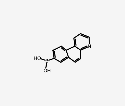 OB(O)c1ccc2c(ccc3ncccc32)c1